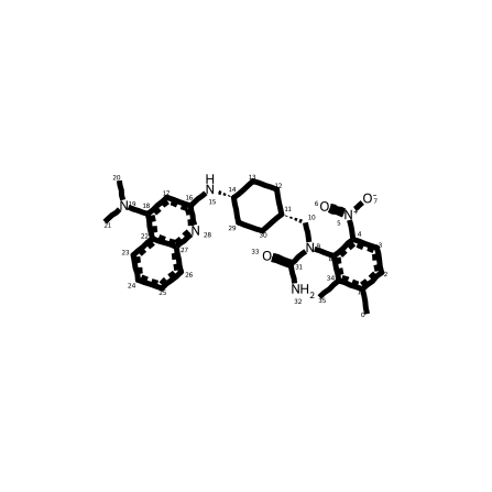 Cc1ccc([N+](=O)[O-])c(N(C[C@H]2CC[C@@H](Nc3cc(N(C)C)c4ccccc4n3)CC2)C(N)=O)c1C